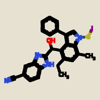 CCc1cc(C)c2c(c(-c3ccccc3)cn2SI)c1C(O)c1nc2cc(C#N)ccc2[nH]1